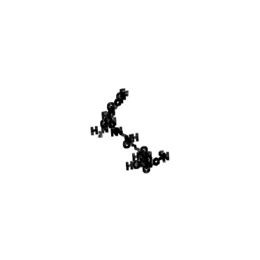 Cc1ncsc1-c1ccc(CNC(=O)C2C[C@@H](O)CN2C(=O)[C@@H](NC(=O)CCCCCCC(=O)NCCCCn2cnc(-c3cnc(O[C@@H]4CCN(C(=O)Cc5ccc(OC(F)(F)F)cc5)C[C@H]4F)c(C(N)=O)c3)c2)C(C)(C)C)cc1